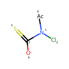 CC(=O)N(Cl)C([O])=S